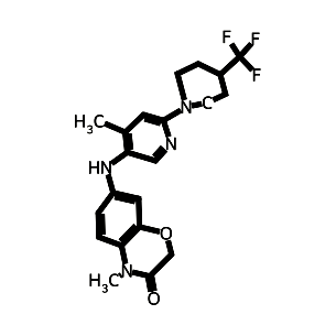 Cc1cc(N2CCC(C(F)(F)F)CC2)ncc1Nc1ccc2c(c1)OCC(=O)N2C